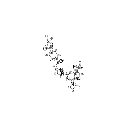 C[C@H]1CCN1c1nc(-n2ccc(CC(=O)N3CCN(C(=O)OC(C)(C)C)CC3)n2)cn2c(C(F)(F)F)cnc12